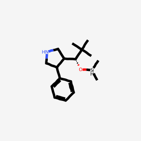 C[SiH](C)O[C@H](C1CNCC1c1ccccc1)C(C)(C)C